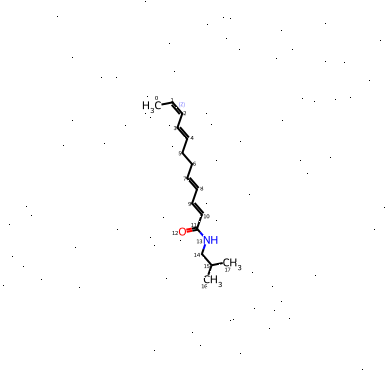 C/C=C\C=CCCC=CC=CC(=O)NCC(C)C